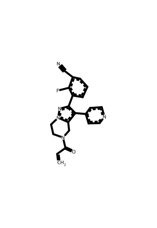 C=CC(=O)N1CCn2nc(-c3cccc(C#N)c3F)c(-c3ccncc3)c2C1